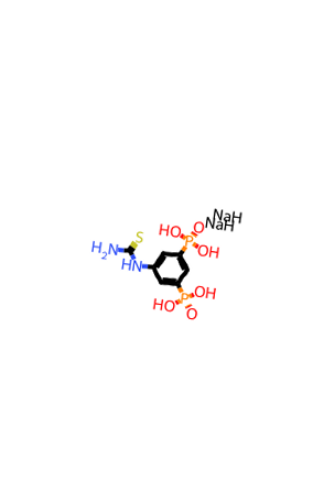 NC(=S)Nc1cc(P(=O)(O)O)cc(P(=O)(O)O)c1.[NaH].[NaH]